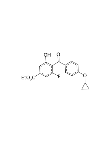 CCOC(=O)c1cc(O)c(C(=O)c2ccc(OC3CC3)cc2)c(F)c1